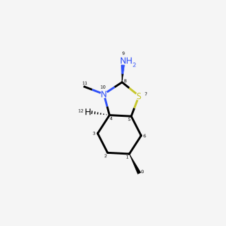 C[C@H]1CC[C@@H]2C(C1)S[C@H](N)N2C